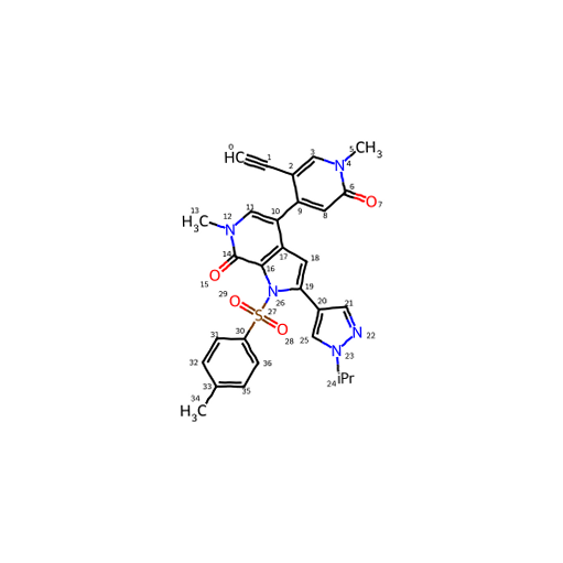 C#Cc1cn(C)c(=O)cc1-c1cn(C)c(=O)c2c1cc(-c1cnn(C(C)C)c1)n2S(=O)(=O)c1ccc(C)cc1